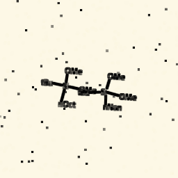 CCCCCCCCC[Si](OC)(OC)C(C)(C)C.CCCCCCCC[Si](OC)(OC)C(C)(C)C